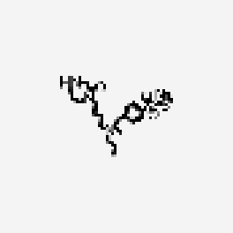 CCCN(CCCCN1CCCNCC1=O)C(C)Cc1ccc(S(=O)(=O)c2nccs2)cc1